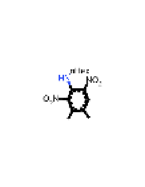 CCCCCCNc1c([N+](=O)[O-])cc(C)c(C)c1[N+](=O)[O-]